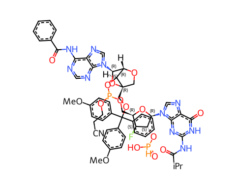 COc1ccc(C(OC[C@@]23CO[C@@H]([C@H](n4cnc5c(NC(=O)c6ccccc6)ncnc54)O2)[C@@H]3OP(OCCC#N)OC[C@H]2O[C@@H](n3cnc4c(=O)[nH]c(NC(=O)C(C)C)nc43)[C@H](O[PH](=O)O)[C@H]2F)(c2ccccc2)c2ccc(OC)cc2)cc1